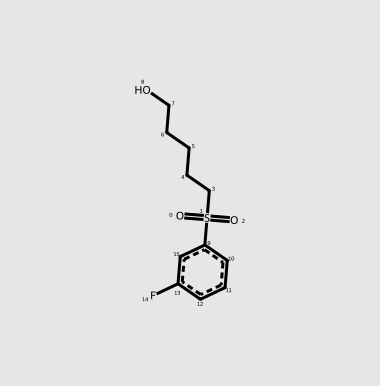 O=S(=O)(CCCCCO)c1cccc(F)c1